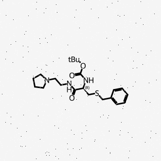 CC(C)(C)OC(=O)N[C@@H](CSCc1ccccc1)C(=O)NCCN1CCCC1